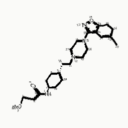 COCCC(=O)N[C@H]1CC[C@H](CCN2CCN(c3noc4c3C=C(C)CC4)CC2)CC1